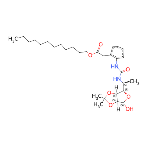 CCCCCCCCCCCCOC(=O)Cc1ccccc1NC(=O)N[C@@H](C)[C@H]1O[C@H](O)[C@H]2OC(C)(C)O[C@@H]12